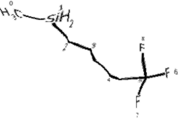 C[SiH2]CCCC(F)(F)F